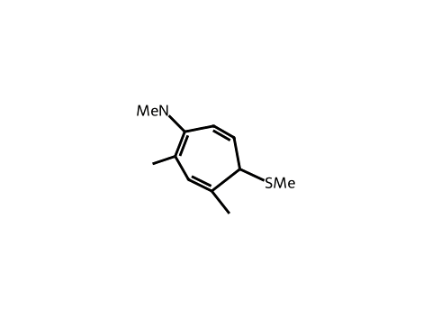 CNC1=C(C)C=C(C)C(SC)C=C1